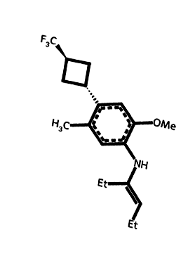 CC/C=C(\CC)Nc1cc(C)c([C@H]2C[C@H](C(F)(F)F)C2)cc1OC